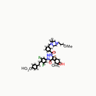 COCCCN1CCN(Cc2cccc(C(=O)Nc3sc4c(c3C(=O)Nc3cc(F)c(CCc5ccc(C(=O)O)cc5)c(F)c3)CCCC4)c2)C(C)(C)C1.O=CO